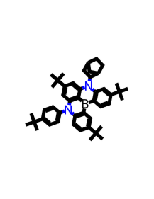 CC(C)(C)c1ccc(N2c3ccc(C(C)(C)C)cc3B3c4ccc(C(C)(C)C)cc4N(C4CC5CCC4C5)c4cc(C(C)(C)C)cc2c43)cc1